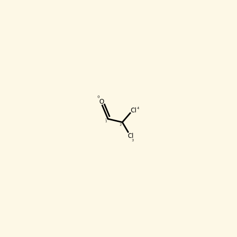 O=[C]C(Cl)Cl